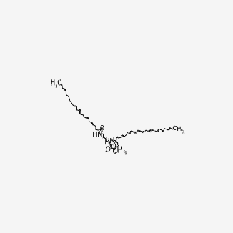 CCC=CCC=CCC=CCC=CCC=CCC=CCCC(=O)NCCCC[C@H](NC(=O)CCC=CCC=CCC=CCC=CCC=CCC=CCC)C(=O)OC